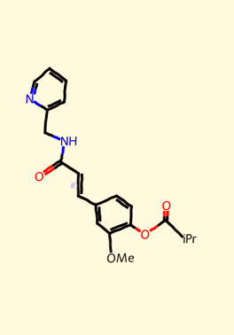 COc1cc(/C=C/C(=O)NCc2ccccn2)ccc1OC(=O)C(C)C